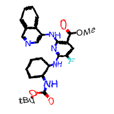 COC(=O)c1cc(F)c(NC2CCCCC2NC(=O)OC(C)(C)C)nc1Nc1cncc2ccccc12